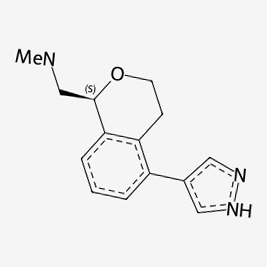 CNC[C@H]1OCCc2c(-c3cn[nH]c3)cccc21